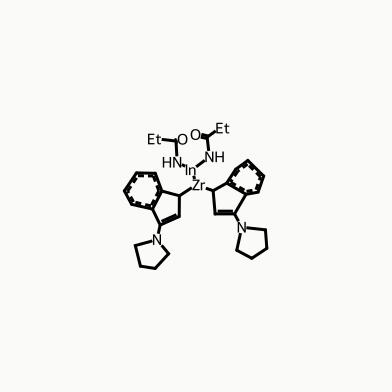 CCC(=O)[NH][In]([NH]C(=O)CC)[Zr]([CH]1C=C(N2CCCC2)c2ccccc21)[CH]1C=C(N2CCCC2)c2ccccc21